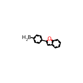 Bc1ccc(-c2cc3ccccc3o2)cc1